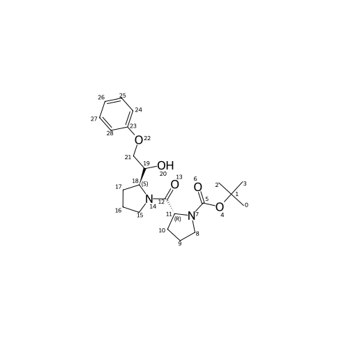 CC(C)(C)OC(=O)N1CCC[C@@H]1C(=O)N1CCC[C@H]1C(O)COc1ccccc1